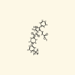 COC(=O)C=Cc1c(-c2ccccc2)[nH]c(C)c1C(=O)C(=O)N1CCN(c2cccc(C(F)(F)F)c2)CC1